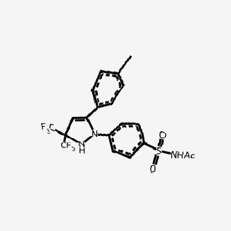 CC(=O)NS(=O)(=O)c1ccc(N2NC(C(F)(F)F)(C(F)(F)F)C=C2c2ccc(C)cc2)cc1